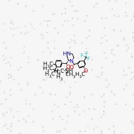 COc1cc(C(=O)N2CCNC[C@@H]2C(O[SiH](C)C)c2ccc(C)c(C(C)(C)C)c2)cc(C(F)(F)F)c1